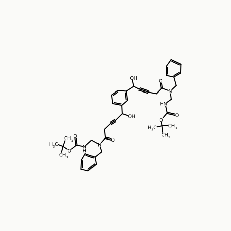 CC(C)(C)OC(=O)NCN(Cc1ccccc1)C(=O)CC#CC(O)c1cccc(C(O)C#CCC(=O)N(CNC(=O)OC(C)(C)C)Cc2ccccc2)c1